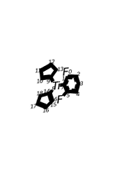 Fc1cccc(F)[c]1[Ti]([C]1=CC=CC1)[C]1=CC=CC1